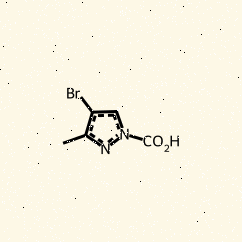 Cc1nn(C(=O)O)cc1Br